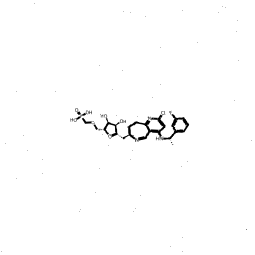 C[C@H](Nc1cc(Cl)nc2c1C=N[C@@H](C[C@@H]1O[C@H](COCP(=O)(O)O)[C@@H](O)[C@H]1O)CC2)c1cccc(F)c1